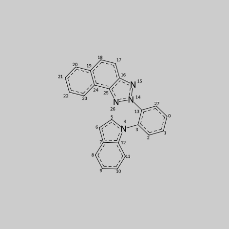 c1ccc(-n2ccc3ccccc32)c(-n2nc3ccc4ccccc4c3n2)c1